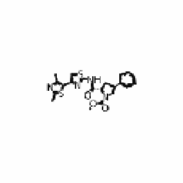 COC(=O)N1C[C@H](c2ccccc2)C[C@H]1C(=O)Nc1nc(-c2sc(C)nc2C)cs1